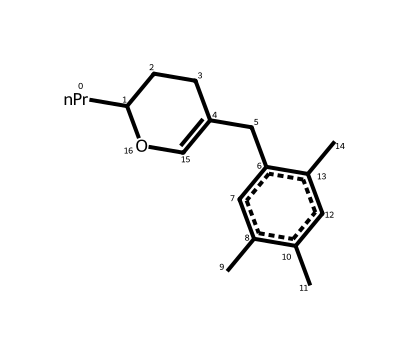 CCCC1CCC(Cc2cc(C)c(C)cc2C)=CO1